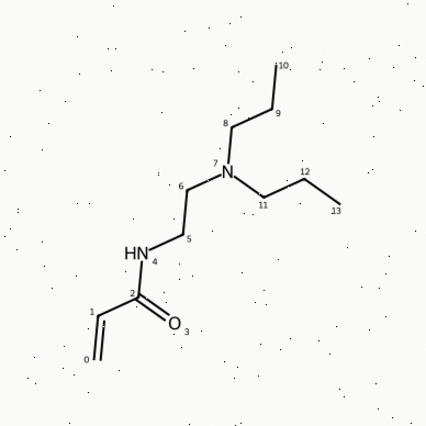 C=CC(=O)NCCN(CCC)CCC